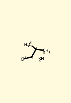 CC(C)CCl.[KH]